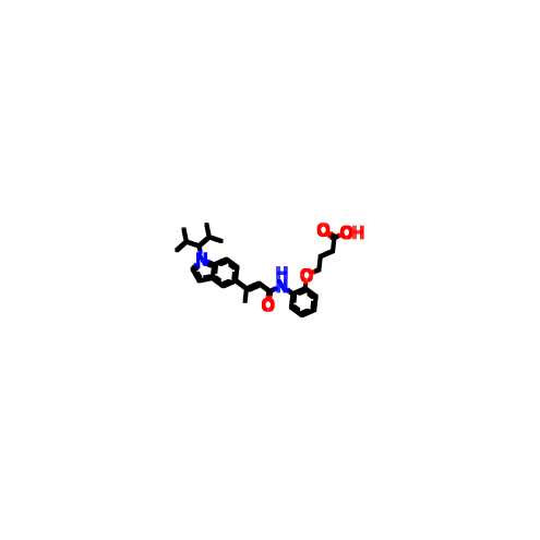 C/C(=C\C(=O)Nc1ccccc1OCCCC(=O)O)c1ccc2c(ccn2C(C(C)C)C(C)C)c1